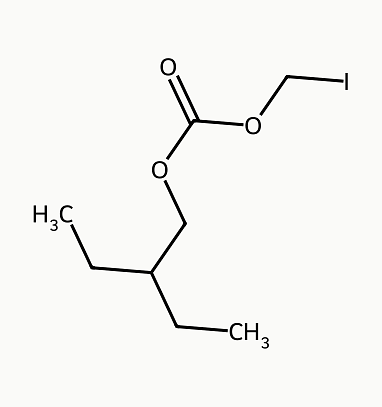 CCC(CC)COC(=O)OCI